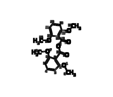 COc1cccc(OC)c1C(=O)OC(=O)c1c(OC)cccc1OC